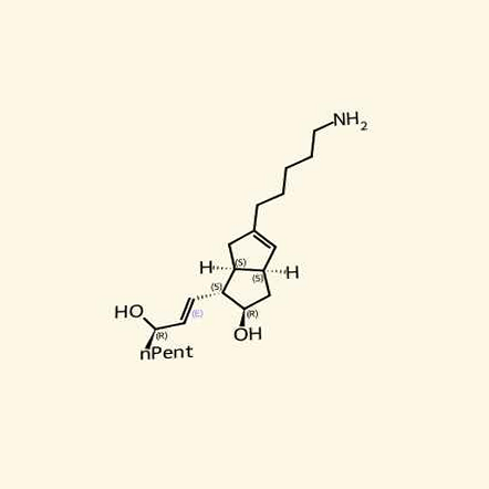 CCCCC[C@@H](O)/C=C/[C@@H]1[C@H]2CC(CCCCCN)=C[C@H]2C[C@H]1O